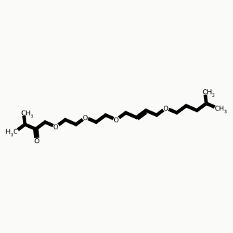 CC(C)CCCOCC=CCOCCOCCOCC(=O)C(C)C